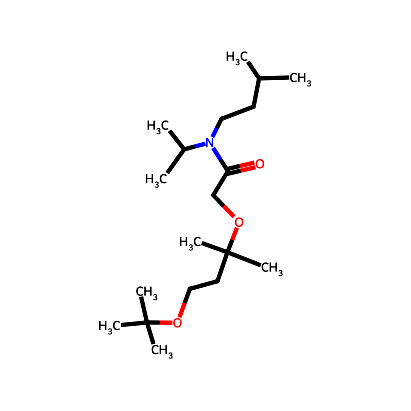 CC(C)CCN(C(=O)COC(C)(C)CCOC(C)(C)C)C(C)C